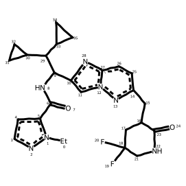 CCn1nccc1C(=O)NC(c1cn2nc(CC3CC(F)(F)CNC3=O)ccc2n1)C(C1CC1)C1CC1